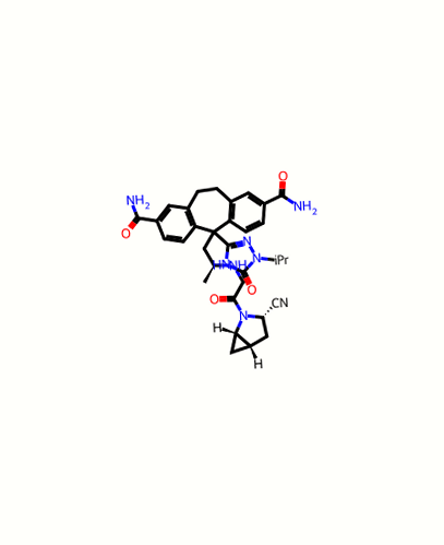 CC(C)n1nc(C2(C[C@H](C)NCC(=O)N3[C@H](C#N)C[C@@H]4C[C@@H]43)c3ccc(C(N)=O)cc3CCc3cc(C(N)=O)ccc32)[nH]c1=O